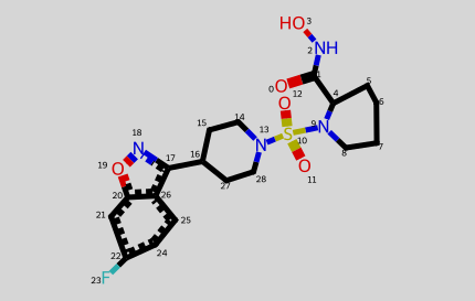 O=C(NO)C1CCCCN1S(=O)(=O)N1CCC(c2noc3cc(F)ccc23)CC1